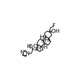 C[C@]12CC[C@H]3[C@@H](CC=C4C[C@@](O)(CF)CC[C@@H]43)[C@@H]1CC[C@@H]2C(=O)Cn1ccnc1